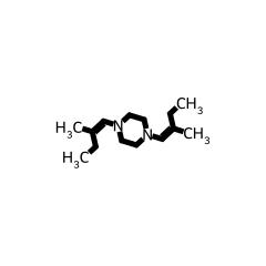 CC/C(C)=C\N1CCN(/C=C(/C)CC)CC1